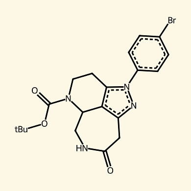 CC(C)(C)OC(=O)N1CCc2c3c(nn2-c2ccc(Br)cc2)CC(=O)NCC31